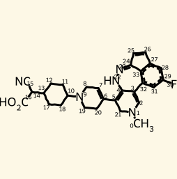 CN1C=C2C(=C(C3=CCN(C4CCC(C(C#N)C(=O)O)CC4)CC3)C1)NN=C1C=Cc3cc(F)cc2c31